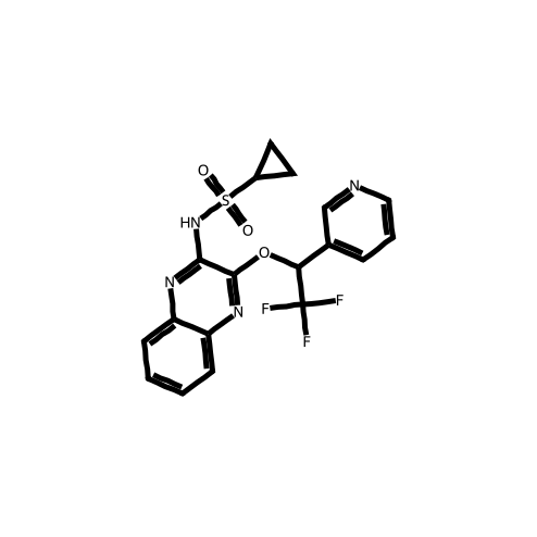 O=S(=O)(Nc1nc2ccccc2nc1OC(c1cccnc1)C(F)(F)F)C1CC1